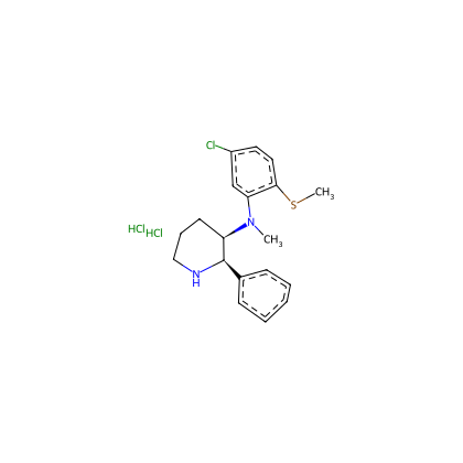 CSc1ccc(Cl)cc1N(C)[C@@H]1CCCN[C@@H]1c1ccccc1.Cl.Cl